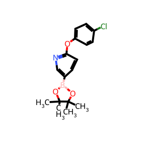 CC1(C)OB(c2ccc(Oc3ccc(Cl)cc3)nc2)OC1(C)C